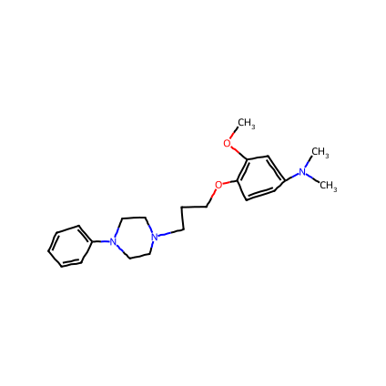 COc1cc(N(C)C)ccc1OCCCN1CCN(c2ccccc2)CC1